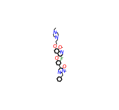 CCN1CCN(CCCOc2ccc3c(Oc4ccc(-c5cnc(Cc6ccccc6)n(C)c5=O)cc4F)ccnc3c2OC)CC1